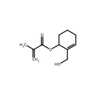 C=C(C)C(=O)OC1CCCC=C1CO